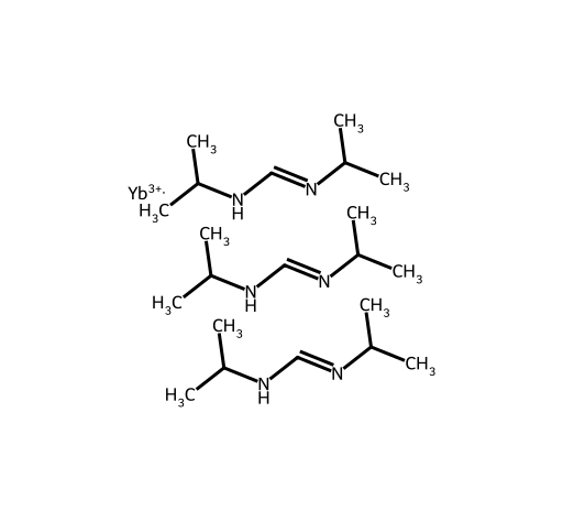 CC(C)N=CNC(C)C.CC(C)N=CNC(C)C.CC(C)N=CNC(C)C.[Yb+3]